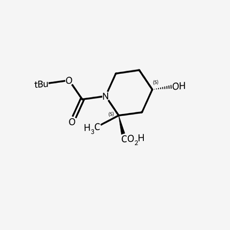 CC(C)(C)OC(=O)N1CC[C@H](O)C[C@@]1(C)C(=O)O